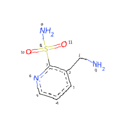 NCc1cccnc1S(N)(=O)=O